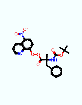 CC(C)(C)OC(=O)NC(C)(Cc1ccccc1)C(=O)OOc1ccc([N+](=O)[O-])c2cccnc12